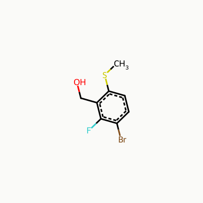 CSc1ccc(Br)c(F)c1CO